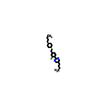 CCCCc1cnc(-c2ccc(CC[C@H]3CC[C@H](CCCC)CC3)cc2F)nc1